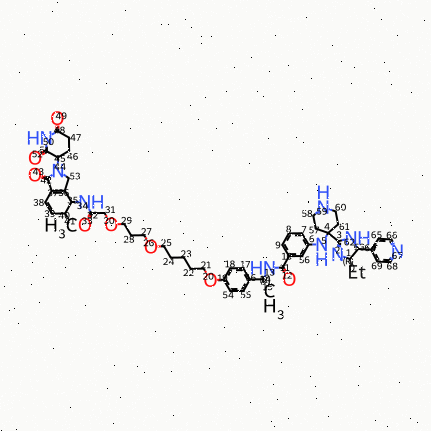 CC[C@H]1N=C(C2(Nc3cccc(C(=O)N[C@H](C)c4ccc(OCCCCCOCCCOCC(=O)NC5C6=C(C=CC5C)C(=O)N(C5CCC(=O)NC5=O)C6)cc4)c3)CCNCC2)NC1c1ccncc1